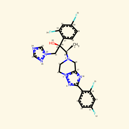 C[C@@H](N1CCn2nc(-c3ccc(F)cc3F)nc2C1)[C@](O)(Cn1cncn1)c1ccc(F)cc1F